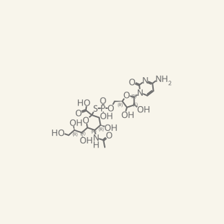 CC(=O)N[C@H]1C([C@H](O)[C@H](O)CO)OC(SP(=O)(O)OC[C@H]2O[C@@H](n3ccc(N)nc3=O)[C@@H](O)C2O)(C(=O)O)C[C@H]1O